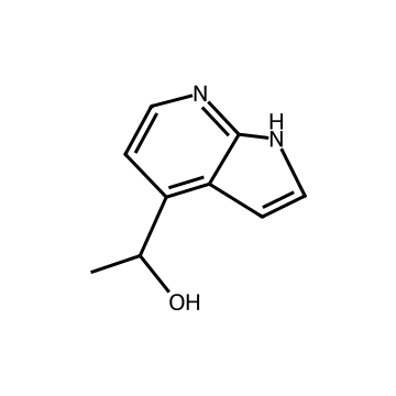 CC(O)c1ccnc2[nH]ccc12